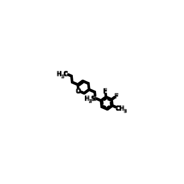 CCCC1=CCC(C[SiH2]c2ccc(C)c(F)c2F)CO1